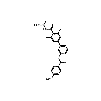 COc1ccc(C(C)Nc2cccc(-c3cc(C)c(C(=O)NC(C)C(=O)O)c(C)c3)c2)cc1